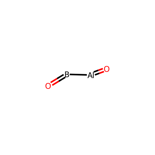 O=[B][Al]=[O]